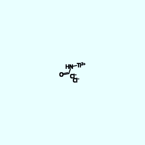 O=C[NH][Ti+2].[Cl-].[Cl-]